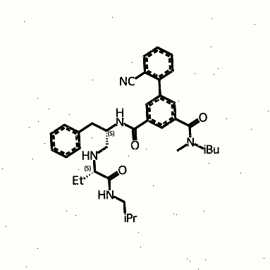 CCC(C)N(C)C(=O)c1cc(C(=O)N[C@H](CN[C@@H](CC)C(=O)NCC(C)C)Cc2ccccc2)cc(-c2ccccc2C#N)c1